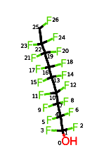 OC(F)(F)C(F)(F)C(F)(F)C(F)(F)C(F)(F)C(F)(F)C(F)(F)C(F)(F)CF